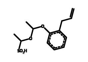 C=CCc1ccccc1OC(C)OC(C)S(=O)(=O)O